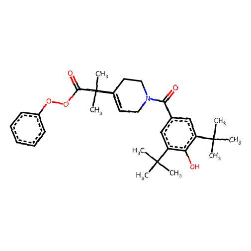 CC(C)(C(=O)OOc1ccccc1)C1=CCN(C(=O)c2cc(C(C)(C)C)c(O)c(C(C)(C)C)c2)CC1